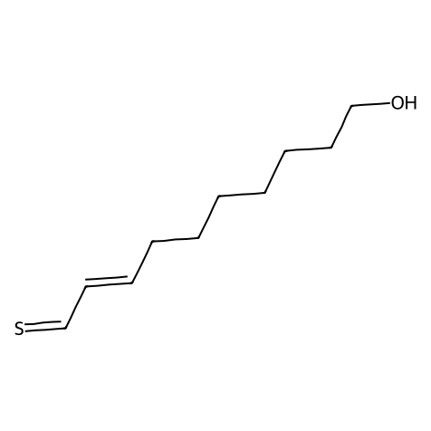 OCCCCCCCC=CC=S